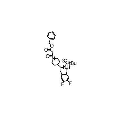 CC(C)(C)[S+]([O-])N[C@H](Cc1cc(F)c(F)cc1F)C1CCN(C(=O)CC(=O)OCc2ccccc2)CC1